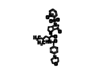 CC(C)CC(NC(=O)c1ccc(N2CCOCC2)cc1)C(=O)N1CCC2C1C(=O)CN2S(=O)(=O)c1cccc[n+]1[O-]